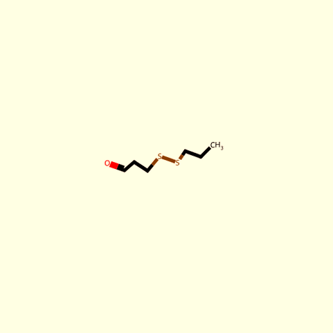 CCCSSCCC=O